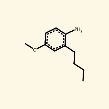 CCCCc1cc(OC)ccc1P